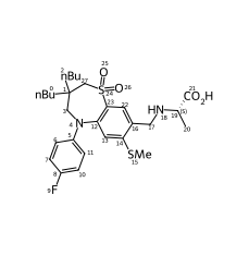 CCCCC1(CCCC)CN(c2ccc(F)cc2)c2cc(SC)c(CN[C@@H](C)C(=O)O)cc2S(=O)(=O)C1